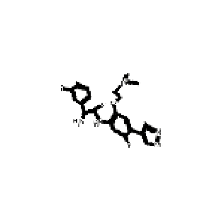 CN(C)CCOc1cc(-c2cn[nH]c2)c(F)cc1NC(=O)C(N)c1cccc(F)c1